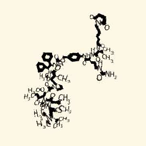 CC[C@H](C)[C@@H]([C@@H](CC(=O)N1CCC[C@H]1[C@H](OC)[C@@H](C)C(=O)N[C@H](c1ccccc1)[C@H](NC(=O)OCc1ccc(NC(=O)[C@H](CCCNC(N)=O)NC(=O)[C@@H](NC(=O)CCCCCN2C(=O)C=CC2=O)C(C)C)cc1)c1ccccc1)OC)N(C)C(=O)[C@@H](NC(=O)[C@H](C(C)C)N(C)C)C(C)C